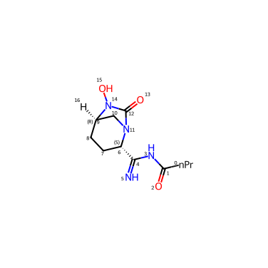 CCCC(=O)NC(=N)[C@@H]1CC[C@@H]2CN1C(=O)N2O